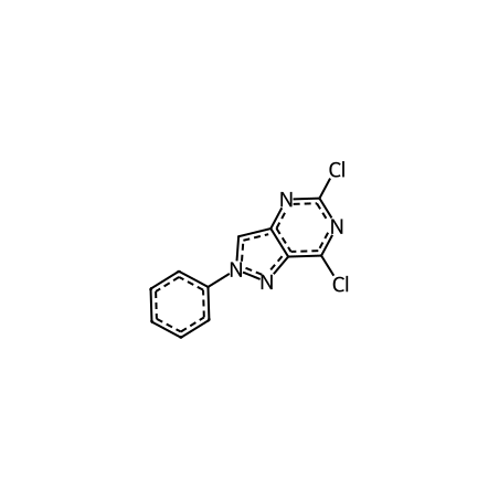 Clc1nc(Cl)c2nn(-c3ccccc3)cc2n1